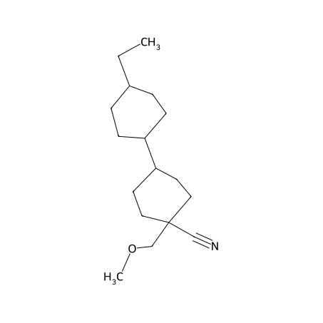 CCC1CCC(C2CCC(C#N)(COC)CC2)CC1